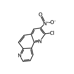 O=[N+]([O-])c1cc2ccc3ncccc3c2nc1Cl